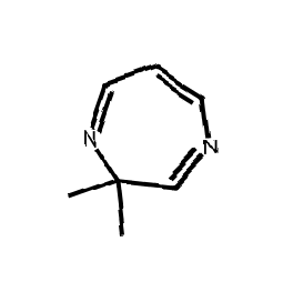 CC1(C)C=NC=CC=N1